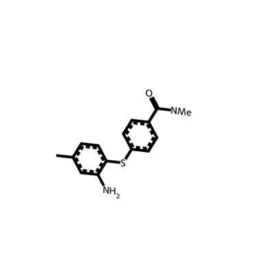 CNC(=O)c1ccc(Sc2ccc(C)cc2N)cc1